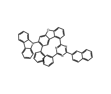 c1ccc(-c2nc(-c3ccc4ccccc4c3)nc(-c3cccc4oc5cc(-n6c7ccccc7c7ccccc76)c(-c6ccccc6)cc5c34)n2)cc1